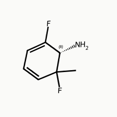 CC1(F)C=CC=C(F)[C@@H]1N